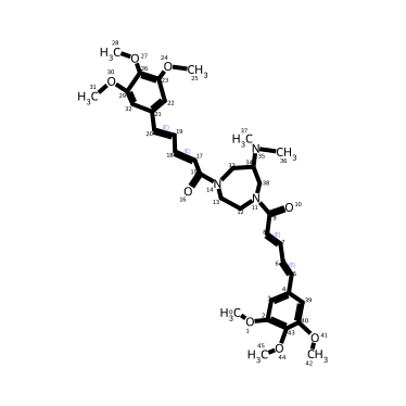 COc1cc(/C=C/C=C/C(=O)N2CCN(C(=O)/C=C/C=C/c3cc(OC)c(OC)c(OC)c3)CC(N(C)C)C2)cc(OC)c1OC